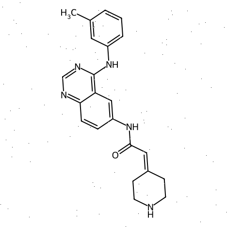 Cc1cccc(Nc2ncnc3ccc(NC(=O)C=C4CCNCC4)cc23)c1